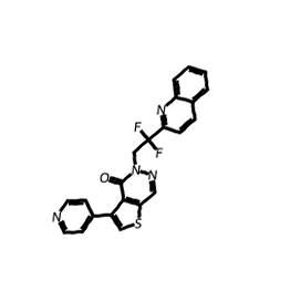 O=c1c2c(-c3ccncc3)csc2cnn1CC(F)(F)c1ccc2ccccc2n1